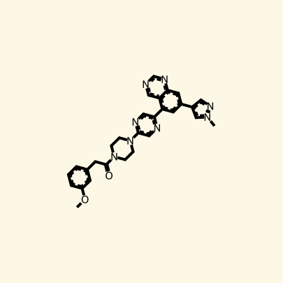 COc1cccc(CC(=O)N2CCN(c3cnc(-c4cc(-c5cnn(C)c5)cc5ncncc45)cn3)CC2)c1